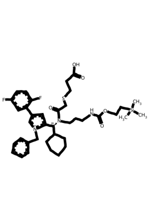 C[Si](C)(C)CCOC(=O)NCCCN(C(=O)CSCCC(=O)O)[C@@H](c1cc(-c2cc(F)ccc2F)cn1Cc1ccccc1)C1CCCCC1